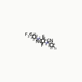 [C-]#[N+]/C(=C\c1cc(F)c(/C=C(\C#N)c2ccc(C)cc2)cc1F)c1ccc(C(F)(F)F)cc1